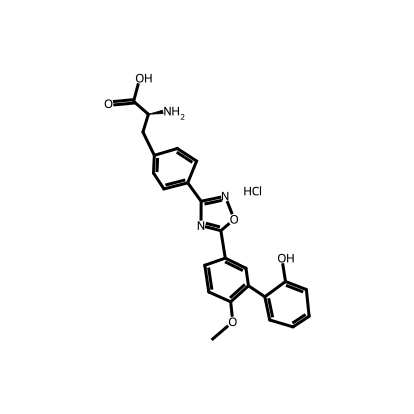 COc1ccc(-c2nc(-c3ccc(C[C@H](N)C(=O)O)cc3)no2)cc1-c1ccccc1O.Cl